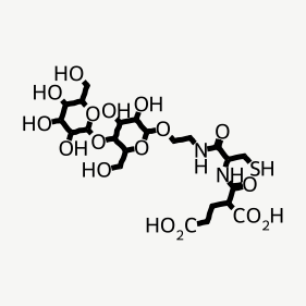 O=C(O)CCC(C(=O)O)C(=O)NC(CS)C(=O)NCCOC1OC(CO)C(OC2OC(CO)C(O)C(O)C2O)C(O)C1O